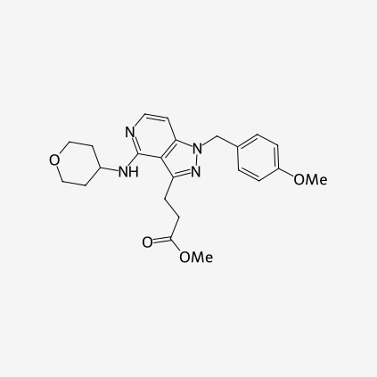 COC(=O)CCc1nn(Cc2ccc(OC)cc2)c2ccnc(NC3CCOCC3)c12